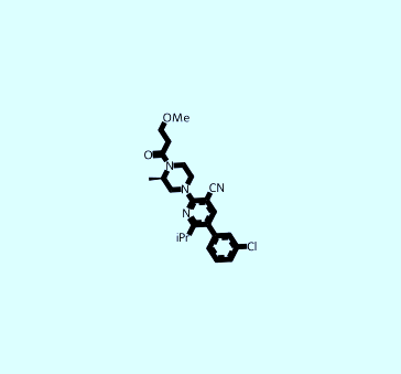 COCCC(=O)N1CCN(c2nc(C(C)C)c(-c3cccc(Cl)c3)cc2C#N)C[C@H]1C